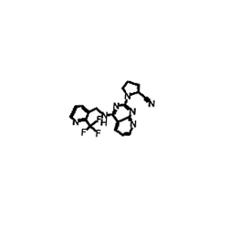 N#CC1CCCN1c1nc(NCc2cccnc2C(F)(F)F)c2cccnc2n1